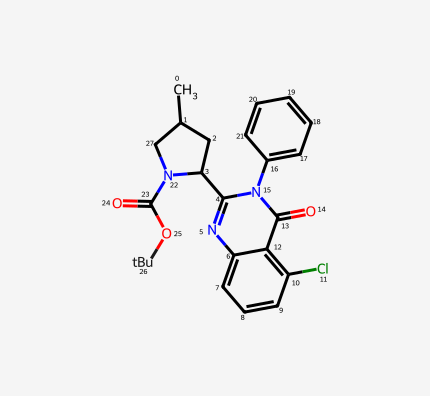 CC1CC(c2nc3cccc(Cl)c3c(=O)n2-c2ccccc2)N(C(=O)OC(C)(C)C)C1